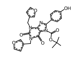 CC(C)(C)OC(=O)n1c(-c2ccc(O)cc2)nc2c1c(=O)n(Cc1ccoc1)c(=O)n2Cc1ccoc1